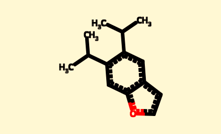 CC(C)c1cc2ccoc2cc1C(C)C